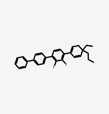 CCCC1(CC)C=CC(c2ccc(-c3ccc(-c4ccccc4)cc3)c(F)c2F)=CC1